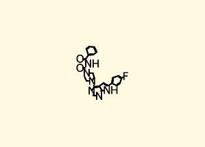 O=C(NC(=O)N1CCN(c2ncnc3[nH]c(-c4ccc(F)cc4)cc23)CC1)c1ccccc1